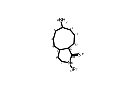 BC1CCCC2CCN(C(C)C)C(=S)C2CCC1